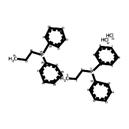 CCCP(c1ccccc1)c1ccccc1.CCCP(c1ccccc1)c1ccccc1.Cl.Cl